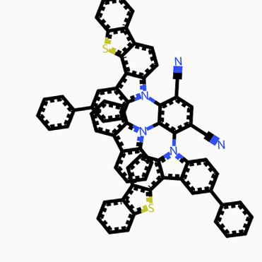 N#Cc1cc(C#N)c(-n2c3ccc(-c4ccccc4)cc3c3c4sc5ccccc5c4ccc32)c(-n2c3ccccc3c3ccccc32)c1-n1c2ccc(-c3ccccc3)cc2c2c3sc4ccccc4c3ccc21